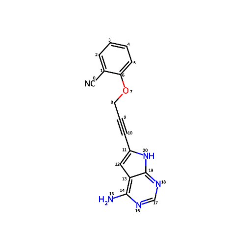 N#Cc1ccccc1OCC#Cc1cc2c(N)ncnc2[nH]1